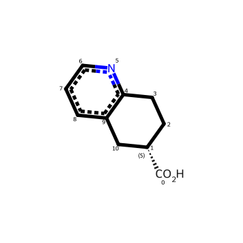 O=C(O)[C@H]1CCc2ncccc2C1